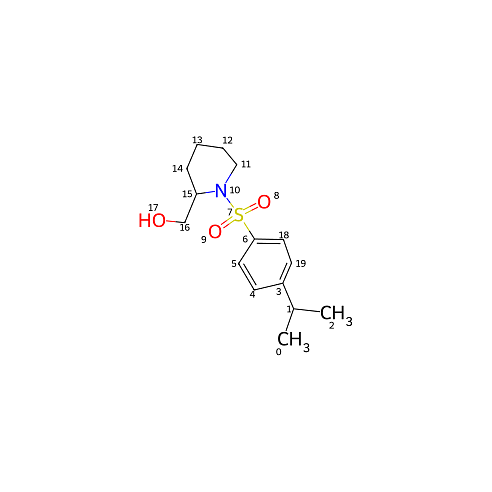 CC(C)c1ccc(S(=O)(=O)N2CCCCC2CO)cc1